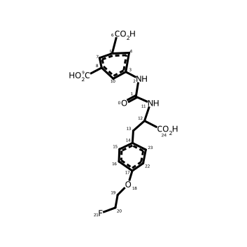 O=C(Nc1cc(C(=O)O)cc(C(=O)O)c1)NC(Cc1ccc(OCCF)cc1)C(=O)O